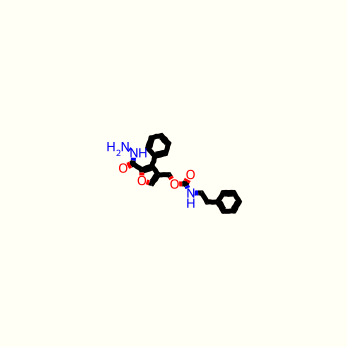 NNC(=O)c1occ(COC(=O)NCCc2ccccc2)c1-c1ccccc1